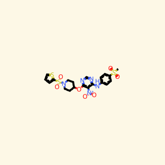 CS(=O)(=O)c1ccc(Nc2ncnc(OC3CCN(S(=O)(=O)c4cccs4)CC3)c2[N+](=O)[O-])cc1